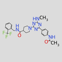 CNc1nc(-c2ccc(NC(C)=O)cc2)nc(N2CCC(C(=O)NCc3ccccc3C(F)(F)F)CC2)n1